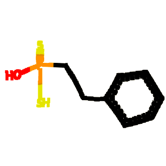 OP(=S)(S)CCc1ccccc1